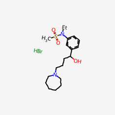 Br.CCN(c1cccc(C(O)CCCN2CCCCCC2)c1)S(C)(=O)=O